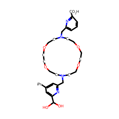 CC(C)c1cc(CN2CCOCCOCCN(Cc3cccc(C(=O)O)n3)CCOCCOCC2)nc(C(O)O)c1